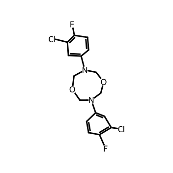 Fc1ccc(N2COCN(c3ccc(F)c(Cl)c3)COC2)cc1Cl